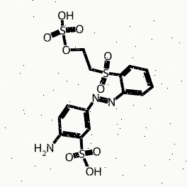 Nc1ccc(N=Nc2ccccc2S(=O)(=O)CCOS(=O)(=O)O)cc1S(=O)(=O)O